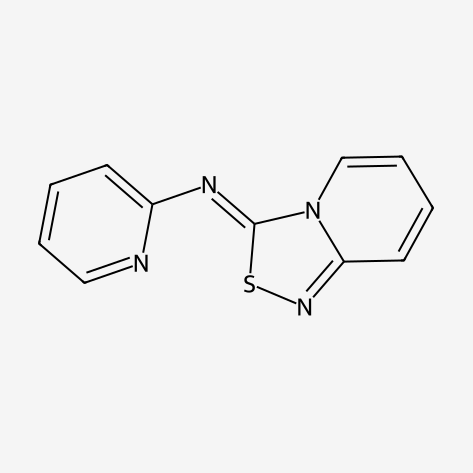 c1ccc(N=c2snc3ccccn23)nc1